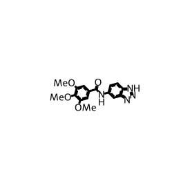 COc1cc(C(=O)Nc2ccc3[nH]nnc3c2)cc(OC)c1OC